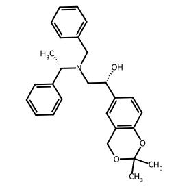 C[C@@H](c1ccccc1)N(Cc1ccccc1)C[C@H](O)c1ccc2c(c1)COC(C)(C)O2